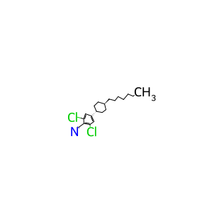 CCCCCCC[C@H]1CC[C@H](c2cc(Cl)c(C#N)c(Cl)c2)CC1